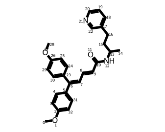 COc1ccc(C(=C/C=C/C(=O)NC(C)CCc2cccnc2)c2ccc(OC)cc2)cc1